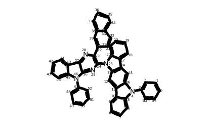 c1ccc(-n2c3ccccc3c3cc4c(cc32)c2ccccc2n4-c2nc3c(nc2-c2ccc4ccccc4c2)c2ccccc2n3-c2ccccc2)cc1